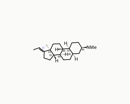 C/C=C1\CC[C@H]2[C@@H]3CC[C@@H]4C[C@H](NC)CC[C@@H]4[C@H]3CC[C@]12C